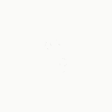 C=Cc1ccc(CCC2CCCCN2Cc2[nH]c(CC)nc2C)cc1CC